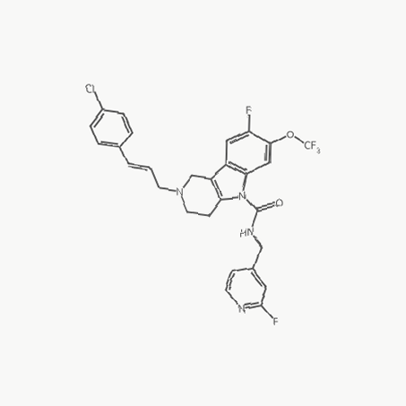 O=C(NCc1ccnc(F)c1)n1c2c(c3cc(F)c(OC(F)(F)F)cc31)CN(CC=Cc1ccc(Cl)cc1)CC2